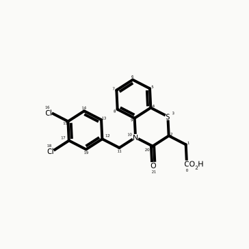 O=C(O)CC1Sc2ccccc2N(Cc2ccc(Cl)c(Cl)c2)C1=O